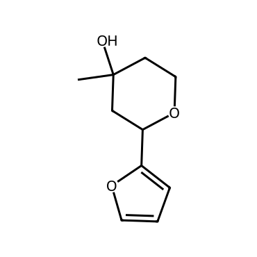 CC1(O)CCOC(c2ccco2)C1